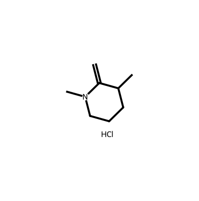 C=C1C(C)CCCN1C.Cl